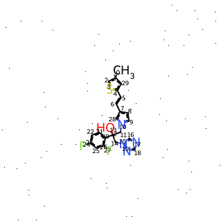 Cc1csc(C=Cc2ccn(CC(O)(Cn3cncn3)c3ccc(F)cc3F)c2)c1